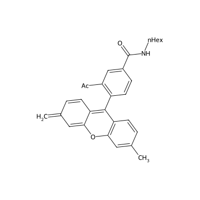 C=c1ccc2c(c1)Oc1cc(C)ccc1C=2c1ccc(C(=O)NCCCCCC)cc1C(C)=O